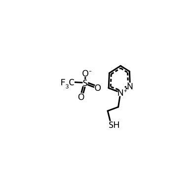 O=S(=O)([O-])C(F)(F)F.SCC[n+]1ccccn1